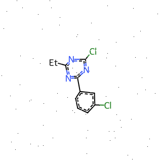 CCc1nc(Cl)nc(-c2cccc(Cl)c2)n1